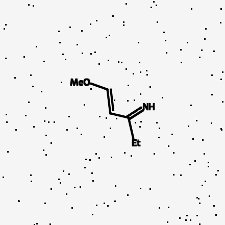 CCC(=N)/C=C/OC